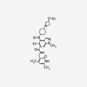 CCOC1CN(C2CCC(N(CC)c3c(CC)c(C(=O)NCc4c(C)cc(C)[nH]c4=O)cc4c3cnn4C)CC2)C1